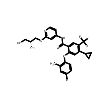 Cc1cc(F)ccc1Oc1cc(C2CC2)c(C(F)(F)F)cc1C(=O)Nc1ccnc(OC[C@H](O)CO)c1